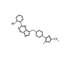 CC(C)c1ccccc1-c1ncc2ncc(Cc3ccc(-c4nc(C(F)(F)F)cn4C)cc3)n2n1